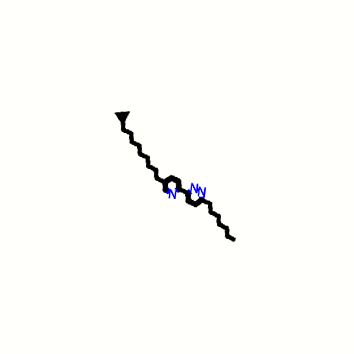 CCCCCCCc1ccc(-c2ccc(CCCCCCCCCC3CC3)cn2)nn1